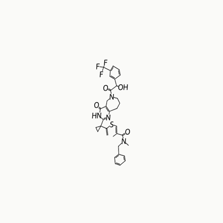 C=C(S/C=C(\C)C(=O)N(C)Cc1ccccc1)C1(c2nc3c(c(=O)[nH]2)CN(C(=O)[C@H](O)c2cccc(C(F)(F)F)c2)CCC3)CC1